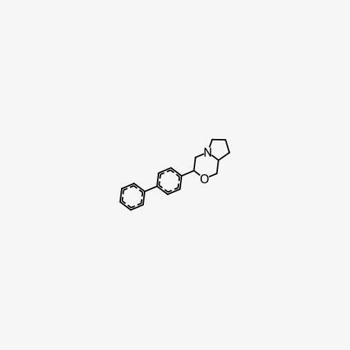 c1ccc(-c2ccc(C3CN4CCCC4CO3)cc2)cc1